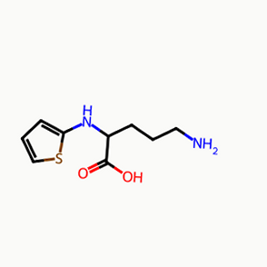 NCCCC(Nc1cccs1)C(=O)O